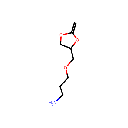 C=C1OCC(COCCCN)O1